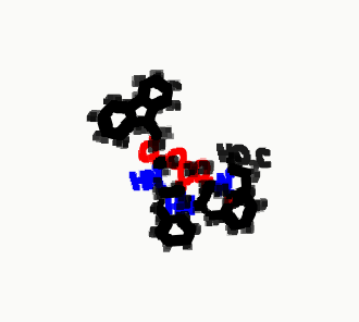 O=C(N[C@@H](Cc1ccccc1)C(=O)N[C@@H](Cc1ccccc1)C(=O)N1CCC[C@H]1C(=O)O)OCC1c2ccccc2-c2ccccc21